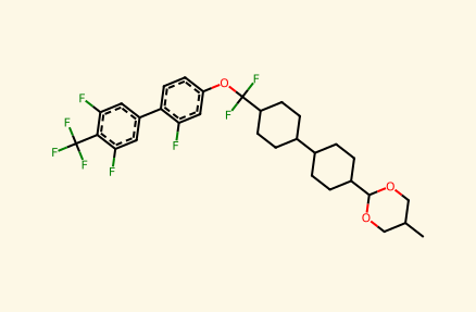 CC1COC(C2CCC(C3CCC(C(F)(F)Oc4ccc(-c5cc(F)c(C(F)(F)F)c(F)c5)c(F)c4)CC3)CC2)OC1